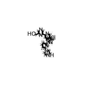 Cl.Cl.OCc1cncc(-c2cc3c(cn2)cnn3-c2cccc(N3CCNCC3)n2)n1